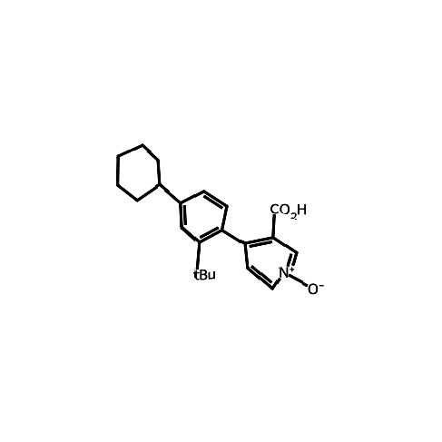 CC(C)(C)c1cc(C2CCCCC2)ccc1-c1cc[n+]([O-])cc1C(=O)O